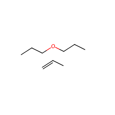 C=CC.CCCOCCC